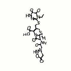 CCn1c(SCC2=C(C(=O)O)N3C(=O)[C@@H](NC(=O)CN4CC(=O)ON4)[C@@H]3SC2)n[nH]c(=O)c1=O